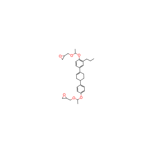 CCCc1cc(C2=CCC(c3ccc(OC(C)OCC4CO4)cc3)CC2)ccc1OC(C)OCC1CO1